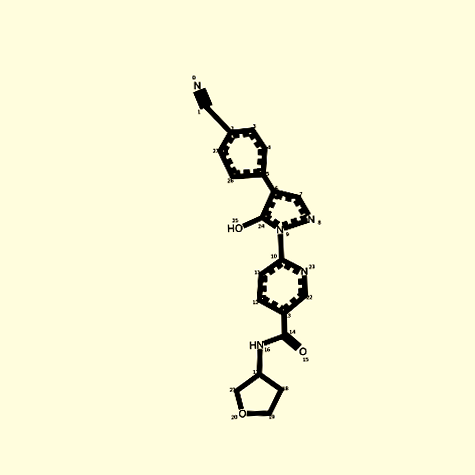 N#Cc1ccc(-c2cnn(-c3ccc(C(=O)NC4CCOC4)cn3)c2O)cc1